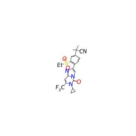 CCS(=O)(=O)c1cc(C(C)(C)C#N)ccc1-c1cn2c(=O)n(C3CC3)c(C(F)(F)F)cc2n1